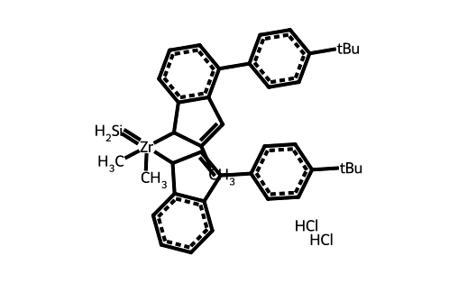 CC1=Cc2c(-c3ccc(C(C)(C)C)cc3)cccc2[CH]1[Zr]([CH3])([CH3])(=[SiH2])[CH]1C=C(c2ccc(C(C)(C)C)cc2)c2ccccc21.Cl.Cl